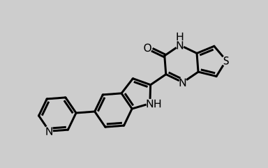 O=c1[nH]c2cscc2nc1-c1cc2cc(-c3cccnc3)ccc2[nH]1